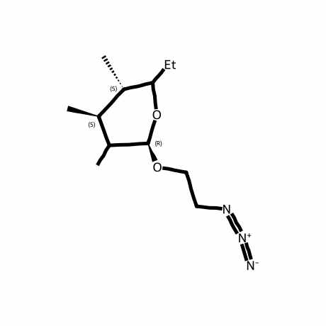 CCC1O[C@@H](OCCN=[N+]=[N-])C(C)[C@@H](C)[C@@H]1C